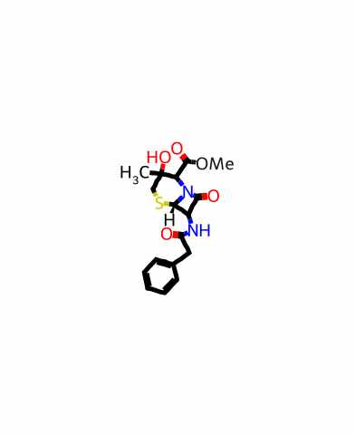 COC(=O)C1N2C(=O)C(NC(=O)Cc3ccccc3)[C@@H]2SCC1(C)O